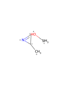 CC1C=N1.O[SiH3]